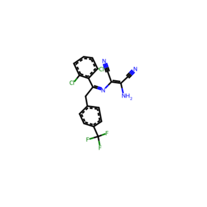 N#CC(N)=C(C#N)N=C(Cc1ccc(C(F)(F)F)cc1)c1c(Cl)cccc1Cl